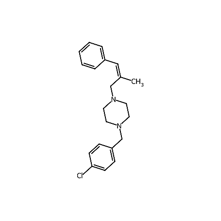 CC(=Cc1ccccc1)CN1CCN(Cc2ccc(Cl)cc2)CC1